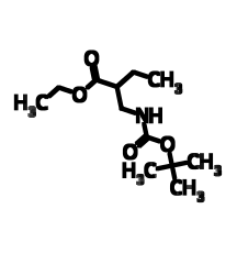 CCOC(=O)C(CC)CNC(=O)OC(C)(C)C